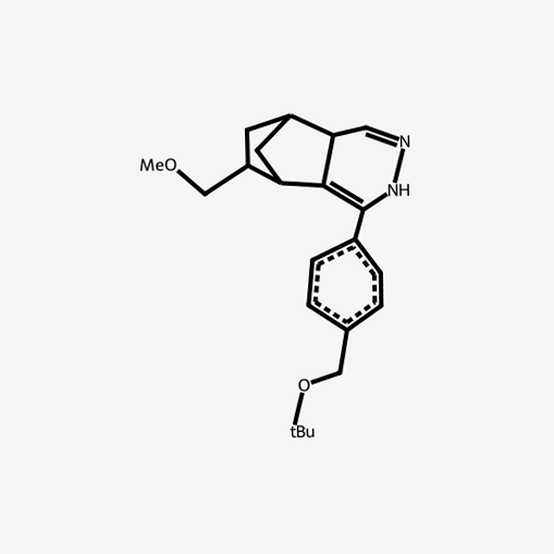 COCC1CC2CC1C1=C(c3ccc(COC(C)(C)C)cc3)NN=CC12